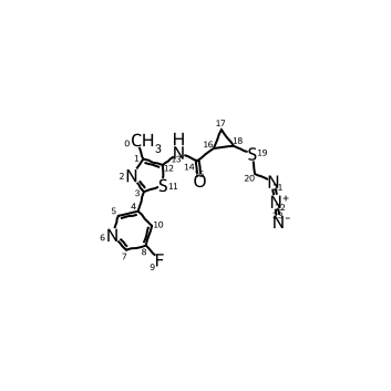 Cc1nc(-c2cncc(F)c2)sc1NC(=O)C1CC1SCN=[N+]=[N-]